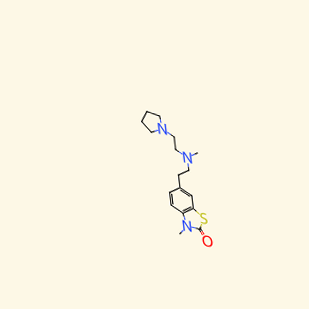 CN(CCc1ccc2c(c1)sc(=O)n2C)CCN1CCCC1